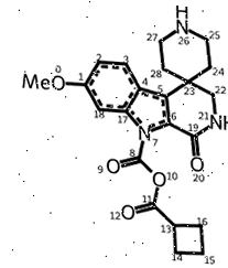 COc1ccc2c3c(n(C(=O)OC(=O)C4CCC4)c2c1)C(=O)NCC31CCNCC1